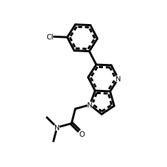 CN(C)C(=O)Cn1ccc2ncc(-c3cccc(Cl)c3)cc21